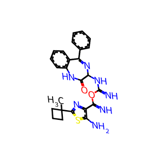 CC1(c2nc(C(=N)OC(=N)NC3N=C(c4ccccc4)c4ccccc4NC3=O)c(N)s2)CCC1